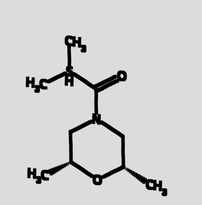 C[C@@H]1CN(C(=O)[SH](C)C)C[C@H](C)O1